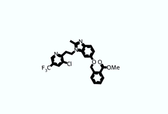 COC(=O)c1ccccc1COc1ccc2nc(C)n(CCc3ncc(C(F)(F)F)cc3Cl)c2c1